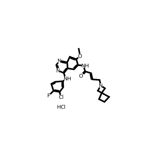 COc1cc2ncnc(Nc3ccc(F)c(Cl)c3)c2cc1NC(=O)C=CCN1CC2(CCC2)C1.Cl